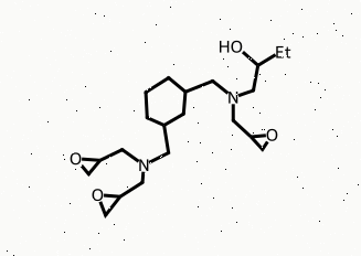 CCC(O)CN(CC1CCCC(CN(CC2CO2)CC2CO2)C1)CC1CO1